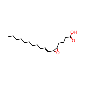 CCCCCCCCCC=CC1OC1CCCC(=O)O